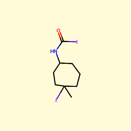 CC1(I)CCCC(NC(=O)I)CC1